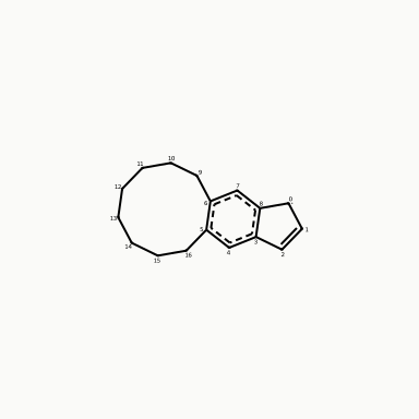 [CH]1C=Cc2cc3c(cc21)CCCCCCCC3